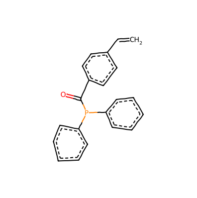 C=Cc1ccc(C(=O)P(c2ccccc2)c2ccccc2)cc1